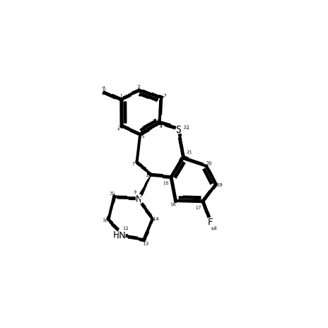 Cc1ccc2c(c1)C[C@H](N1CCNCC1)c1cc(F)ccc1S2